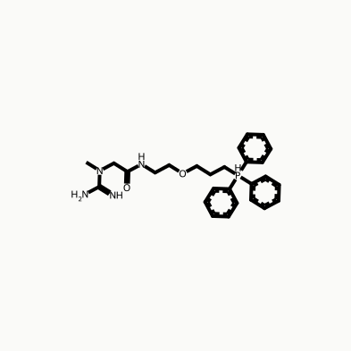 CN(CC(=O)NCCOCCC[PH](c1ccccc1)(c1ccccc1)c1ccccc1)C(=N)N